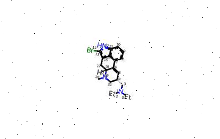 CCN(CC)C[C@H]1C=C2c3cccc4[nH]c(Br)c(c34)C[C@H]2N(C)C1